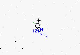 CC(C)(C)c1cc2nc(N)[nH]c2cc1F